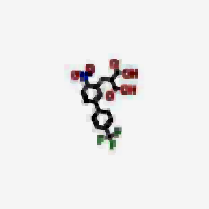 O=C(O)C(Cc1cc(-c2ccc(C(F)(F)F)cc2)ccc1[N+](=O)[O-])C(=O)O